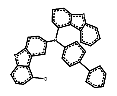 Clc1cccc2sc3ccc(N(c4ccc(-c5ccccc5)cc4)c4cccc5sc6ccccc6c45)cc3c12